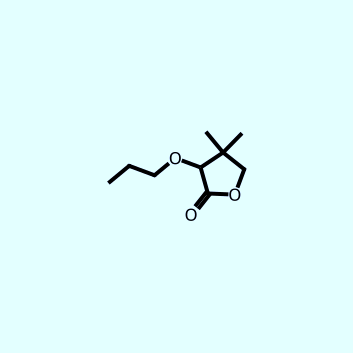 CCCOC1C(=O)OCC1(C)C